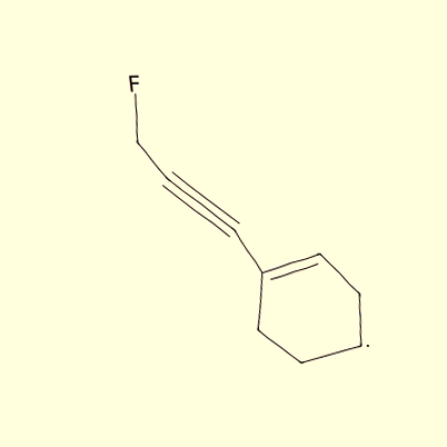 FCC#CC1=CC[CH]CC1